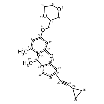 Cc1cc(OCC2COCCO2)cc(=O)n1C(C)c1ccc(C#CC2CC2)cc1